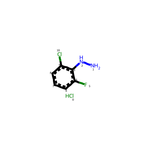 Cl.NNc1c(F)cccc1Cl